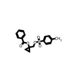 Cc1ccc(S(=O)(=O)OCC2(OC(=O)c3ccccc3)CC2)cc1